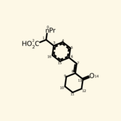 CCCC(C(=O)O)c1ccc(C=C2CCCCC2=O)cc1